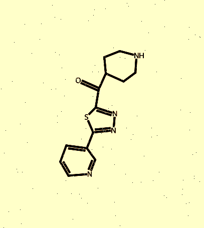 O=C(c1nnc(-c2cccnc2)s1)C1CCNCC1